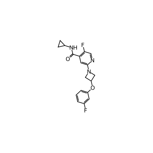 O=C(NC1CC1)c1cc(N2CC(Oc3cccc(F)c3)C2)ncc1F